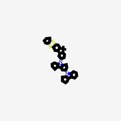 CC1(C)c2ccc(-n3c4ccccc4c4cc(-n5c6ccccc6c6ccccc65)ccc43)cc2-c2cc3c(cc21)Sc1ccccc1S3